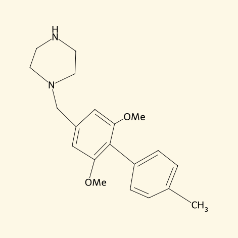 COc1cc(CN2CCNCC2)cc(OC)c1-c1ccc(C)cc1